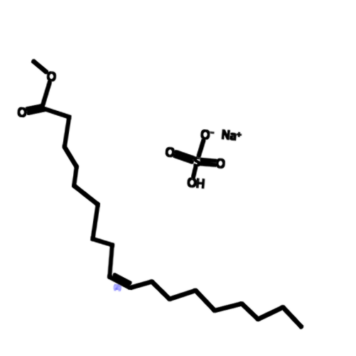 CCCCCCCC/C=C\CCCCCCCC(=O)OC.O=S(=O)([O-])O.[Na+]